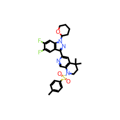 Cc1ccc(S(=O)(=O)N2CCC(C)(C)c3cc(-c4nn(C5CCCCO5)c5cc(F)c(F)cc45)ncc32)cc1